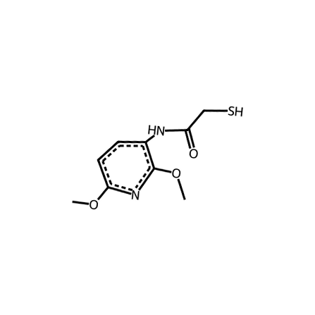 COc1ccc(NC(=O)CS)c(OC)n1